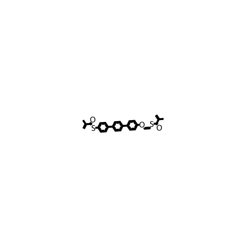 C=C(C)C(=O)S/C=C\Oc1ccc(-c2ccc(-c3ccc(SC(=O)C(=C)C)cc3)cc2)cc1